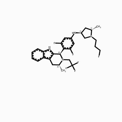 C[C@@H]1Cc2c([nH]c3ccccc23)[C@@H](c2c(F)cc(N[C@H]3C[C@H](C)N(CCCF)C3)cc2F)N1CC(F)(F)F